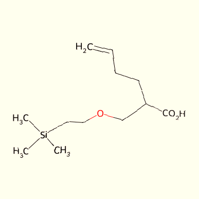 C=CCCC(COCC[Si](C)(C)C)C(=O)O